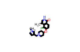 Cc1c[nH]c(=O)c2ccc(OC3CCN(Cc4ccn(C)c4)CC3)c(F)c12